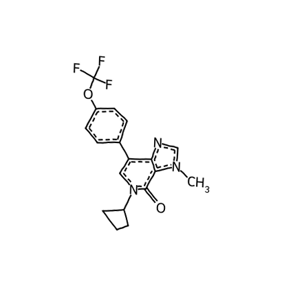 Cn1cnc2c(-c3ccc(OC(F)(F)F)cc3)cn(C3CCC3)c(=O)c21